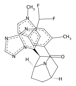 Cc1cc2c(ccn2C)cc1C(=O)N1[C@H]2CC[C@H](c3cc(C(F)F)nc4ncnn34)[C@@H]1CC2